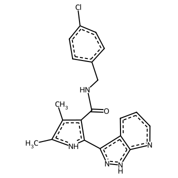 Cc1[nH]c(-c2n[nH]c3ncccc23)c(C(=O)NCc2ccc(Cl)cc2)c1C